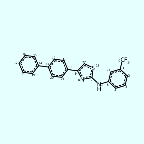 FC(F)(F)c1cccc(Nc2nc(-c3ccc(-c4ccccc4)cc3)cs2)c1